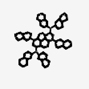 c1ccc2cc(-c3cc(N(c4ccc5ccccc5c4)c4ccc5ccccc5c4)c4ccc5c(-c6ccc7ccccc7c6)cc(N(c6ccc7ccccc7c6)c6ccc7ccccc7c6)c6ccc3c4c56)ccc2c1